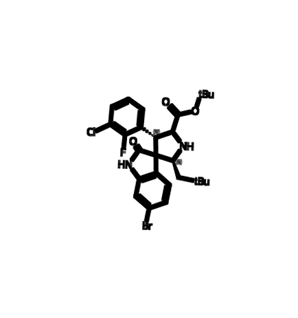 CC(C)(C)C[C@@H]1NC(C(=O)OC(C)(C)C)[C@@H](c2cccc(Cl)c2F)C12C(=O)Nc1cc(Br)ccc12